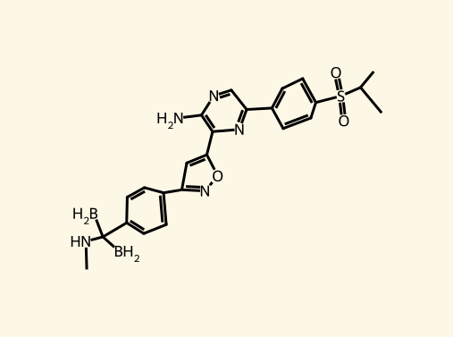 BC(B)(NC)c1ccc(-c2cc(-c3nc(-c4ccc(S(=O)(=O)C(C)C)cc4)cnc3N)on2)cc1